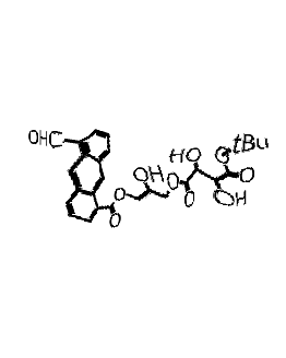 CC(C)(C)OC(=O)C(O)C(O)C(=O)OCC(O)COC(=O)c1cccc2cc3c(C=O)cccc3cc12